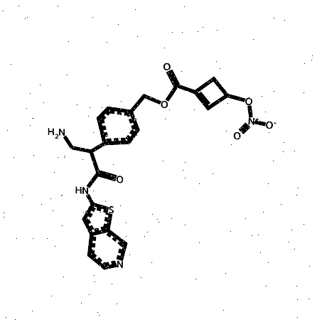 NCC(C(=O)Nc1cc2ccncc2s1)c1ccc(COC(=O)C2=CC(O[N+](=O)[O-])C2)cc1